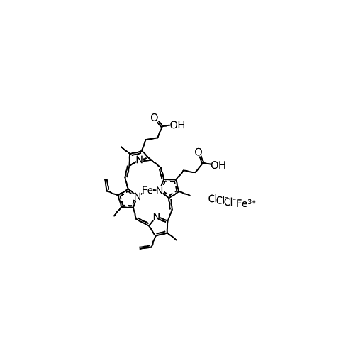 C=CC1=C(C)C2=NC/1=C\c1c(C)c(C=C)c3[n]1[Fe][n]1/c(c(C)c(CCC(=O)O)/c1=C/C1=NC(=C\3)/C(C)=C1CCC(=O)O)=C\2.[Cl-].[Cl-].[Cl-].[Fe+3]